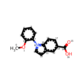 COc1ccccc1-n1ccc2cc(C(=O)O)ccc21